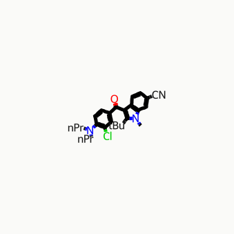 CCCN(CCC)c1ccc(C(=O)c2c(C(C)(C)C)n(C)c3cc(C#N)ccc23)cc1Cl